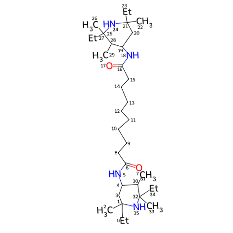 CCC1(C)CC(NC(=O)CCCCCCCCC(=O)NC2CC(C)(CC)NC(C)(CC)C2C)C(C)C(C)(CC)N1